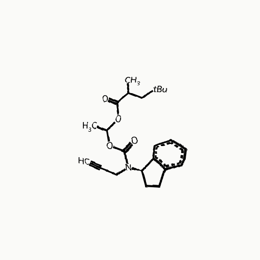 C#CCN(C(=O)OC(C)OC(=O)C(C)CC(C)(C)C)[C@@H]1CCc2ccccc21